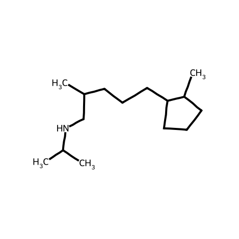 CC(CCCC1CCCC1C)CNC(C)C